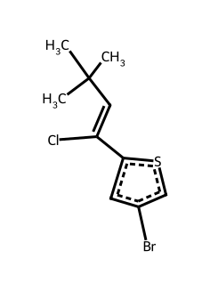 CC(C)(C)C=C(Cl)c1cc(Br)cs1